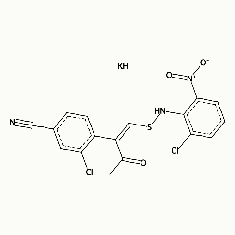 CC(=O)C(=CSNc1c(Cl)cccc1[N+](=O)[O-])c1ccc(C#N)cc1Cl.[KH]